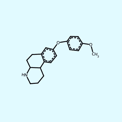 COc1ccc(Oc2ccc3c(c2)CCC2NCCCC32)cc1